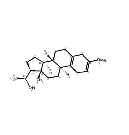 COC1=CCC2=C(CC[C@@H]3[C@@H]2CC[C@]2(C)[C@@H]([C@H](C)O)CC[C@@H]32)C1